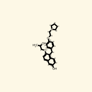 CC(O)COc1ccc2cc(O)ccc2c1Cc1ccc(OCCN2CCCC2)cc1